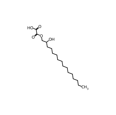 CCCCCCCCCCCCCCC(O)COC(=O)C(=O)O